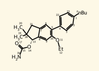 CCCCc1ccc(-c2cc3c(cc2OCC)[C@H](OC(N)=O)C(C)(C)C3)cc1